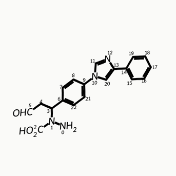 NN(C(=O)O)C(CC=O)c1ccc(-n2cnc(-c3ccccc3)c2)cc1